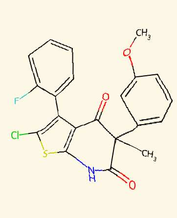 COc1cccc(C2(C)C(=O)Nc3sc(Cl)c(-c4ccccc4F)c3C2=O)c1